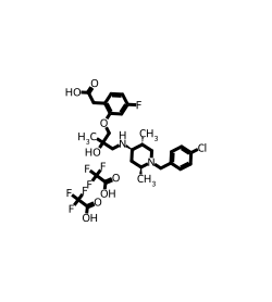 C[C@@H]1CN(Cc2ccc(Cl)cc2)[C@@H](C)C[C@H]1NCC(C)(O)COc1cc(F)ccc1CC(=O)O.O=C(O)C(F)(F)F.O=C(O)C(F)(F)F